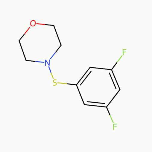 Fc1cc(F)cc(SN2CCOCC2)c1